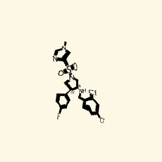 Cn1cnc(S(=O)(=O)N2C[C@H](NCc3ccc(Cl)cc3Cl)[C@@H](c3ccc(F)cc3)C2)c1